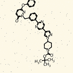 CC(C)(C)OC(=O)N1CCC(n2cc(-c3cnc(-c4cccc(Cn5nc(Oc6ccccc6)ccc5=O)c4)nc3)cn2)CC1